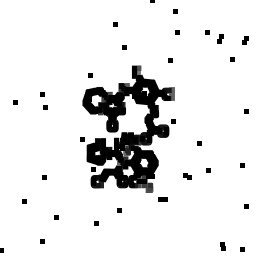 COC(=O)CSc1cc(/N=c2\sc(=O)n3n2CCCC3)c(F)cc1Cl.Cc1cccc(C)c1N(Cn1cccn1)C(=O)CCl